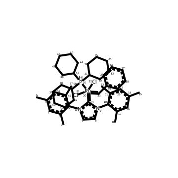 Cc1cc(C)c(-n2ccn(-c3c(C)cc(C)cc3C)[c]2=[Ru]([Cl])([Cl])(=[CH]c2ccccc2)[PH](C2CCCCC2)(C2CCCCC2)C2CCCCC2)c(C)c1